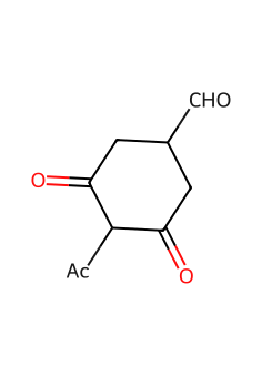 CC(=O)C1C(=O)CC(C=O)CC1=O